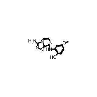 COc1ccc(O)c(Nc2nccn3c(N)nnc23)c1